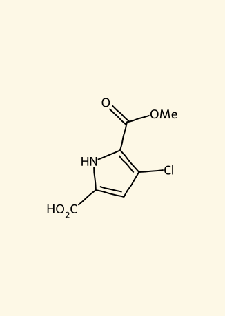 COC(=O)c1[nH]c(C(=O)O)cc1Cl